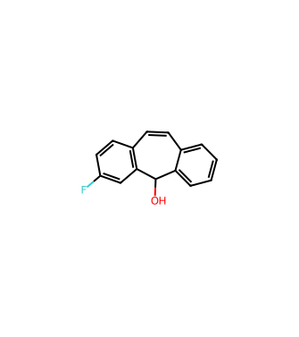 OC1c2ccccc2C=Cc2ccc(F)cc21